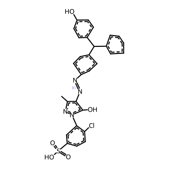 Cc1nn(-c2cc(S(=O)(=O)O)ccc2Cl)c(O)c1/N=N/c1ccc(C(c2ccccc2)c2ccc(O)cc2)cc1